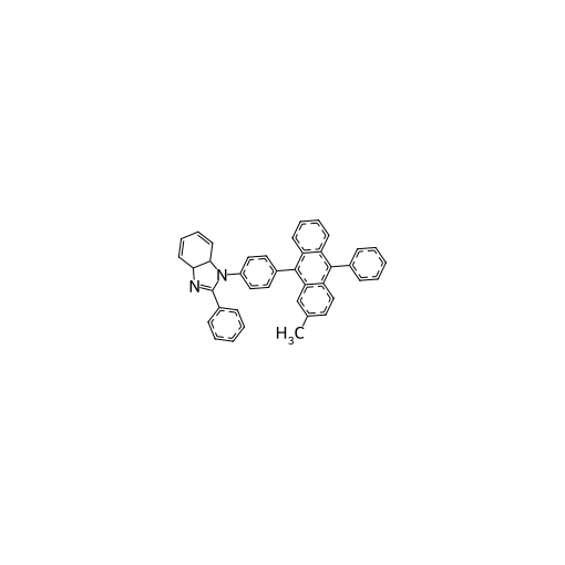 Cc1ccc2c(-c3ccccc3)c3ccccc3c(-c3ccc(N4C(c5ccccc5)=NC5C=CC=CC54)cc3)c2c1